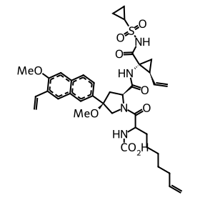 C=CCCCCCC(NC(=O)O)C(=O)N1C[C@](OC)(c2ccc3cc(OC)c(C=C)cc3c2)C[C@H]1C(=O)N[C@]1(C(=O)NS(=O)(=O)C2CC2)C[C@H]1C=C